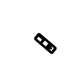 O1C23C4=C5C6C4C12C6C53